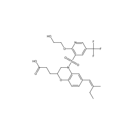 CCC(C)=Cc1ccc2c(c1)N(S(=O)(=O)c1cc(C(F)(F)F)cnc1OCCO)CC(CCC(=O)O)O2